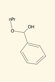 CCCOC(O)c1ccccc1